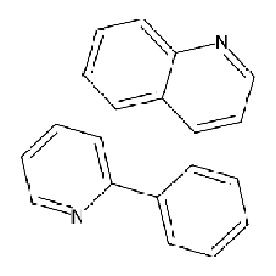 c1ccc(-c2ccccn2)cc1.c1ccc2ncccc2c1